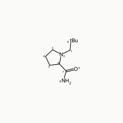 CC(C)(C)CN1CCCC1C(N)=O